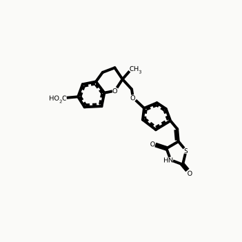 CC1(COc2ccc(C=C3SC(=O)NC3=O)cc2)CCc2cc(C(=O)O)ccc2O1